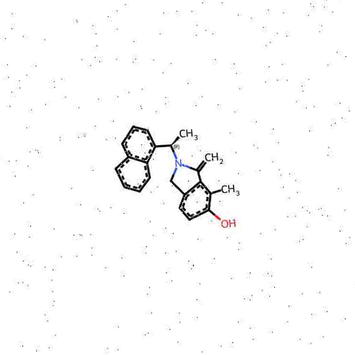 C=C1c2c(ccc(O)c2C)CN1[C@H](C)c1cccc2ccccc12